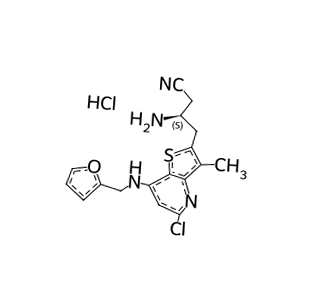 Cc1c(C[C@@H](N)CC#N)sc2c(NCc3ccco3)cc(Cl)nc12.Cl